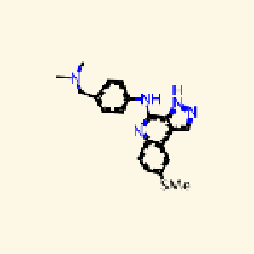 CSc1ccc2nc(Nc3ccc(CN(C)C)cc3)c3[nH]ncc3c2c1